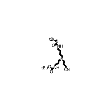 CC(C)(C)OC(=O)NCCCCN(CCCC#N)CCCNC(=O)OC(C)(C)C